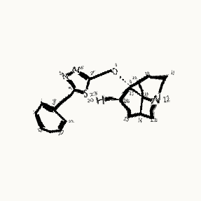 c1ccc(-c2nnc(O[C@@H]3C4CN5CC6C[C@H]3C[C@]65C4)s2)cc1